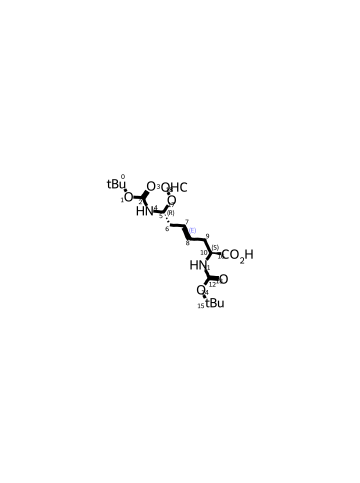 CC(C)(C)OC(=O)N[C@@H](C/C=C/C[C@H](NC(=O)OC(C)(C)C)C(=O)O)OC=O